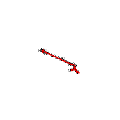 Cc1nc(C2CCC(N3C[C@H](CS(=O)(=O)CCC(=O)NCCOCCOCCOCCOCCOCCOCCOCCOCCOCCOCCOCCNC(=O)CCCC[C@@H]4SC[C@@H]5NC(=O)N[C@@H]54)OC[C@@H]3Cc3ccc(Cl)cc3)CC2)sc1C.Cl